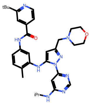 Cc1ccc(NC(=O)c2ccnc(C(C)(C)C)c2)cc1Nc1cc(CN2CCOCC2)nn1-c1cc(NC(C)C)ncn1